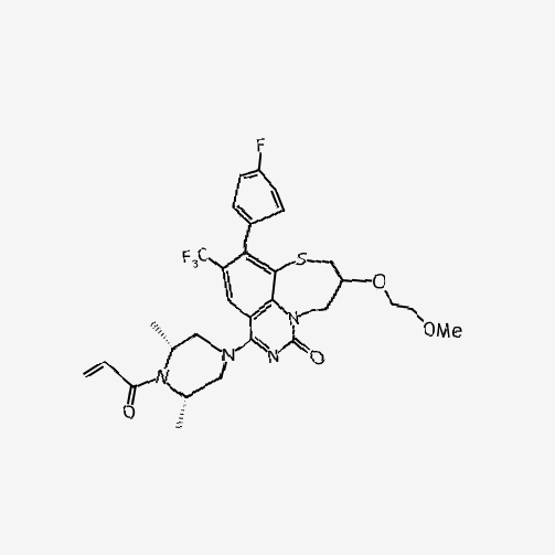 C=CC(=O)N1[C@H](C)CN(c2nc(=O)n3c4c(c(-c5ccc(F)cc5)c(C(F)(F)F)cc24)SCC(OCCOC)C3)C[C@@H]1C